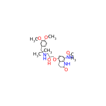 COc1ccc(CC(C)(C)NCC(O)COc2ccc(NC(C)=O)c3c2CCC(=O)N3)cc1OC